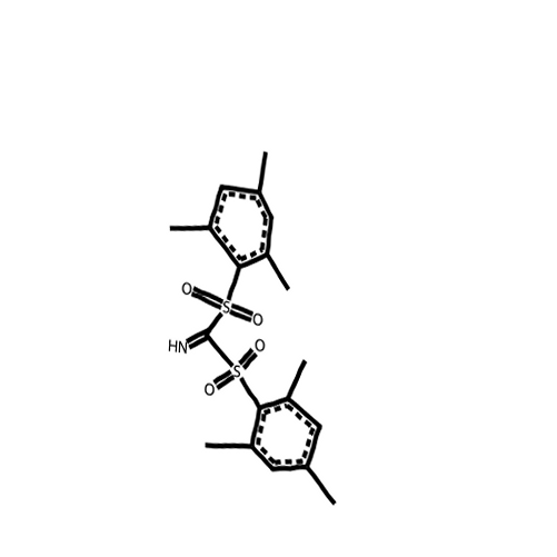 Cc1cc(C)c(S(=O)(=O)C(=N)S(=O)(=O)c2c(C)cc(C)cc2C)c(C)c1